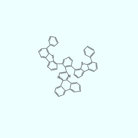 c1ccc(-c2cccc3c2sc2c(-c4cccc(-c5cccc6c5sc5c(-c7ccccc7)cccc56)c4-c4cnc5c6ccccc6c6ccccc6c5n4)cccc23)cc1